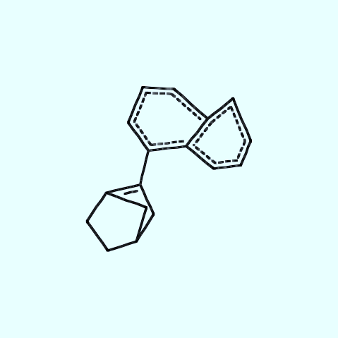 c1ccc2c(C3=C4CCC(C4)C3)cccc2c1